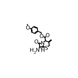 C=C1CS[C@@H]2[C@H](N)C(=O)N2C1C(=O)OCc1ccc(OC)cc1